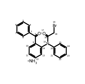 N.O=C(c1ccccc1)c1ccccc1N(C(=O)CBr)c1ccccc1